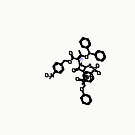 C/C(OC(c1ccccc1)c1ccccc1)=C(\C(=O)OCc1ccc([N+](=O)[O-])cc1)N1C(=O)C(NC(=O)COc2ccccc2)C1SS(=O)(=O)c1ccc(C)cc1